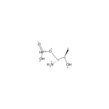 C[C@@H](O)[C@H](N)O[PH](=O)O